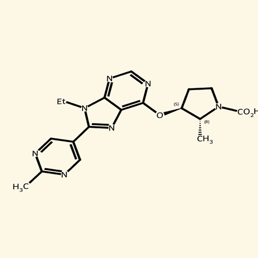 CCn1c(-c2cnc(C)nc2)nc2c(O[C@H]3CCN(C(=O)O)[C@@H]3C)ncnc21